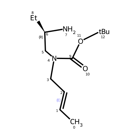 C/C=C/CN(C[C@H](N)CC)C(=O)OC(C)(C)C